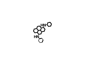 C1=CCCC(Nc2cc3ccc(Nc4ccccc4)c4ccc5cccc2c5c34)=C1